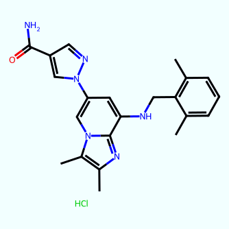 Cc1cccc(C)c1CNc1cc(-n2cc(C(N)=O)cn2)cn2c(C)c(C)nc12.Cl